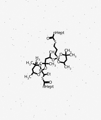 CCCCCCCC(=O)SCCC[Si]1(OC(C)CC(C)(C)O[Si]2(C(CC)SC(=O)CCCCCCC)OC(C)CC(C)(C)O2)OC(C)CC(C)(C)O1